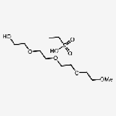 CCS(=O)(=O)O.COCCOCCOCCOCCO